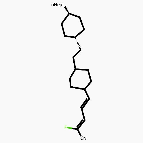 CCCCCCC[C@H]1CC[C@H](CCC2CCC(C=CC=C(F)C#N)CC2)CC1